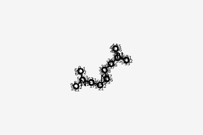 c1ccc(-c2cc(-c3ccccc3)nc(-c3ccc(-c4cccc(-c5cccc(-c6cccc(-c7ccc(-c8cc(-c9ccccc9)nc(-c9ccccc9)c8)cc7)c6)n5)c4)cc3)c2)cc1